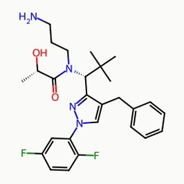 C[C@H](O)C(=O)N(CCCN)[C@@H](c1nn(-c2cc(F)ccc2F)cc1Cc1ccccc1)C(C)(C)C